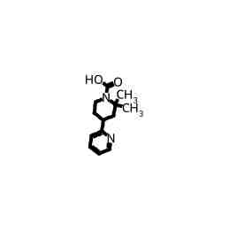 CC1(C)CC(c2ccccn2)CCN1C(=O)O